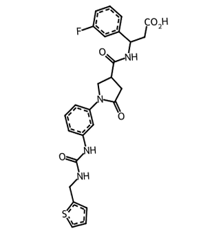 O=C(O)CC(NC(=O)C1CC(=O)N(c2cccc(NC(=O)NCc3cccs3)c2)C1)c1cccc(F)c1